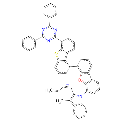 C=C/C=C\c1c(C)c2ccccc2n1-c1cccc2c1oc1c(-c3cccc4sc5c(-c6nc(-c7ccccc7)nc(-c7ccccc7)n6)cccc5c34)cccc12